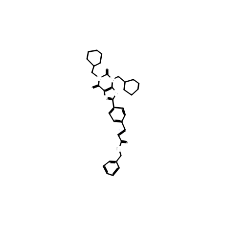 O=C(/C=C/c1ccc(-c2nc3c(=O)n(CC4CCCCC4)c(=O)n(CC4CCCCC4)c3[nH]2)cc1)NCc1ccccc1